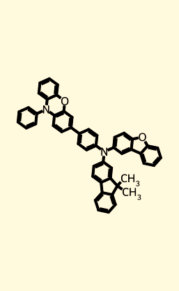 CC1(C)c2ccccc2-c2ccc(N(c3ccc(-c4ccc5c(c4)Oc4ccccc4N5c4ccccc4)cc3)c3ccc4oc5ccccc5c4c3)cc21